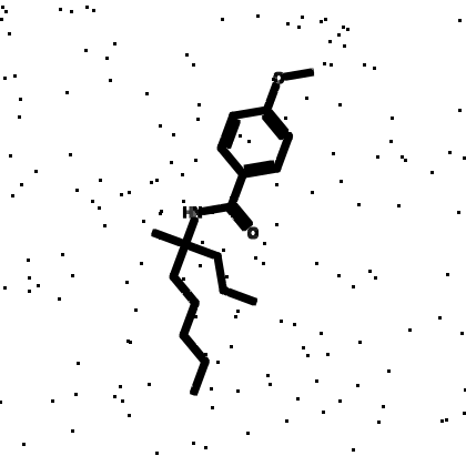 CCCCCC(C)(CCC)NC(=O)c1ccc(OC)cc1